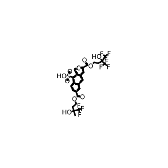 CC(O)(CCOC(=O)c1ccc2c(S(=O)(=O)O)c3ccc(C(=O)OCCC(O)(C(F)(F)F)C(F)(F)F)cc3cc2c1)C(F)(F)F